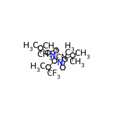 Cc1cc(-c2cc(-n3c4ccccc4c4cc(-c5c(C)cc(C)cc5C)ccc43)c(C#N)c(-n3c4ccccc4c4cc(-c5c(C)cc(C)cc5C)ccc43)c2)cc(C(F)(F)F)c1